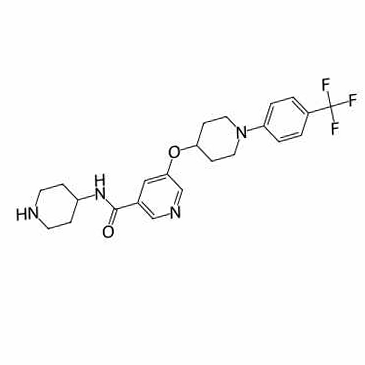 O=C(NC1CCNCC1)c1cncc(OC2CCN(c3ccc(C(F)(F)F)cc3)CC2)c1